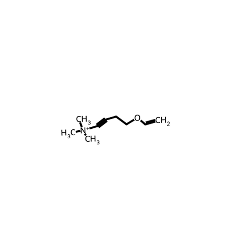 C=COCCC#C[N+](C)(C)C